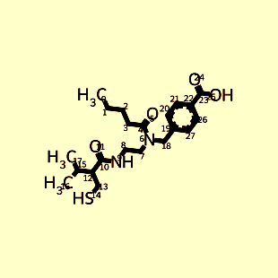 CCCCC(=O)N(CCNC(=O)C(CS)C(C)C)Cc1ccc(C(=O)O)cc1